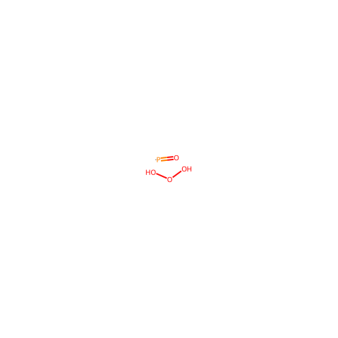 O=[P].OOO